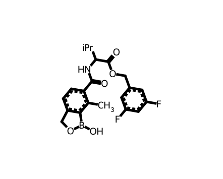 Cc1c(C(=O)NC(C(=O)OCc2cc(F)cc(F)c2)C(C)C)ccc2c1B(O)OC2